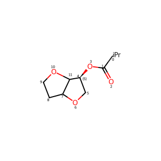 CC(C)C(=O)O[C@H]1COC2CCOC21